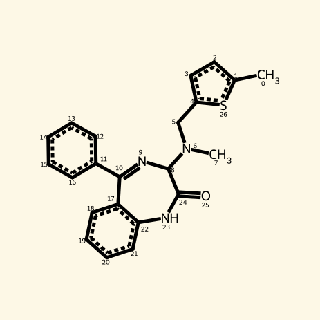 Cc1ccc(CN(C)C2N=C(c3ccccc3)c3ccccc3NC2=O)s1